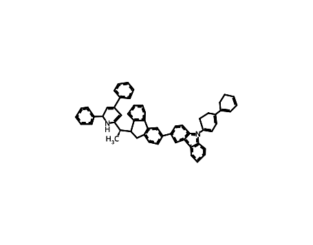 C[C@@H](C1=CC(c2ccccc2)=CC(c2ccccc2)N1)C1Cc2ccc(-c3ccc4c(c3)c3ccccc3n4C3=CC=C(C4=CC=CCC4)CC3)cc2-c2ccccc21